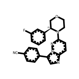 N#Cc1ccc(-c2cnc3ccc(N4CCOC[C@@H]4c4cccc(F)c4)nn23)cc1